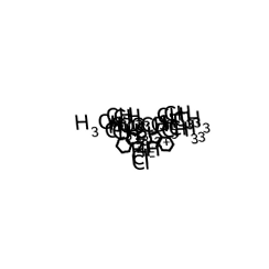 CC(C)(C)[Si](C)(C)OC1=C2[C@H]([Zr+2][C@H]3C4=C(CCCC4)C(O[Si](C)(C)C(C)(C)C)=C3[Si]2(C)C)C2=C1CCCC2.[Cl-].[Cl-]